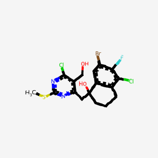 CSc1nc(Cl)c(CO)c(CC2(O)CCCc3c2cc(Br)c(F)c3Cl)n1